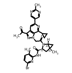 CC(=O)c1nn(CC(=O)N2[C@H](C(=O)Nc3nc(Br)ccc3C)C[C@@]3(C)C[C@@H]23)c2c(C3CC3)nc(-c3cnc(C)nc3)cc12